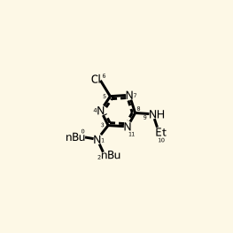 CCCCN(CCCC)c1nc(Cl)nc(NCC)n1